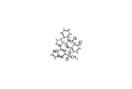 CS(=O)(=O)c1nc(N2CCCC2c2nc3cccc(Cl)c3c(=O)n2-c2ccccc2)c2nccn2n1